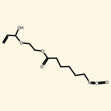 C=CC(O)OCCOC(=O)CCCCCN=C=O